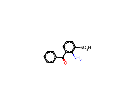 Nc1c(C(=O)c2ccccc2)cccc1S(=O)(=O)O